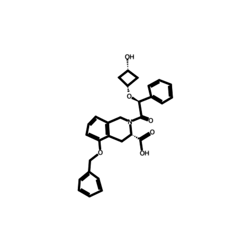 O=C(O)[C@@H]1Cc2c(cccc2OCc2ccccc2)CN1C(=O)[C@@H](O[C@H]1C[C@@H](O)C1)c1ccccc1